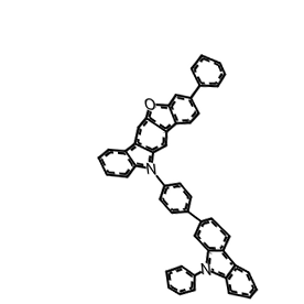 c1ccc(-c2ccc3c(c2)oc2cc4c5ccccc5n(-c5ccc(-c6ccc7c8ccccc8n(-c8ccccc8)c7c6)cc5)c4cc23)cc1